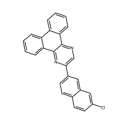 Clc1ccc2ccc(-c3cnc4c5ccccc5c5ccccc5c4n3)cc2c1